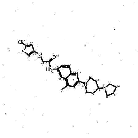 Cc1cc(N2CCC(N3CCCC3)CC2)nc2ccc(NC(=O)COc3csc(Cl)c3)cc12